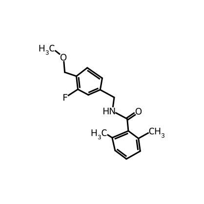 COCc1ccc(CNC(=O)c2c(C)cccc2C)cc1F